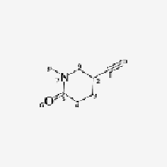 C#CC1CCC(=O)N(C)C1